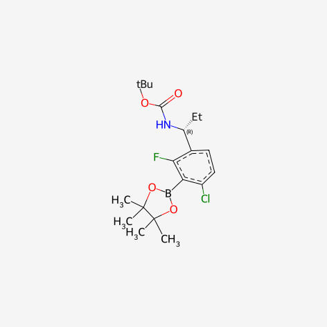 CC[C@@H](NC(=O)OC(C)(C)C)c1ccc(Cl)c(B2OC(C)(C)C(C)(C)O2)c1F